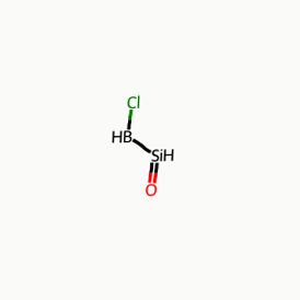 O=[SiH]BCl